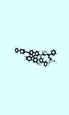 C=CC/C(=C\C=C(/C)N(c1cccc(-c2ccccc2)c1)c1ccc2c(c1)C(c1ccccc1)(c1ccc(C)cc1)c1cc(-c3ccc(-c4ccccc4)cc3)ccc1-2)c1ccccc1